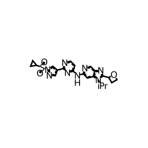 CC(C)n1c(C2CCO2)nc2cnc(Nc3ccnc(-c4cnn(S(=O)(=O)C5CC5)c4)n3)cc21